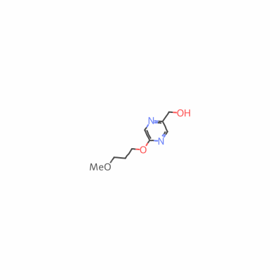 COCCCOc1cnc(CO)cn1